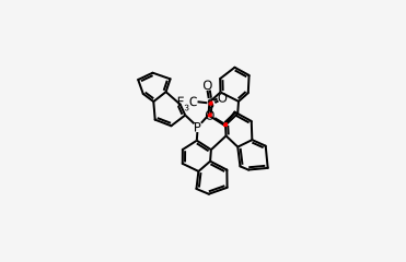 O=S(=O)(Oc1ccc2ccccc2c1-c1c(P(c2ccc3ccccc3c2)c2ccc3ccccc3c2)ccc2ccccc12)C(F)(F)F